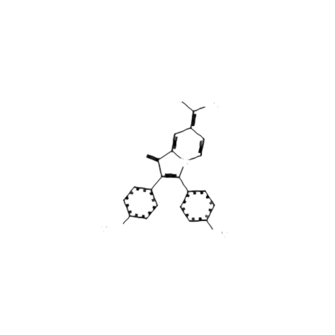 COc1ccc(C2=C(c3ccc(OC)cc3)N3C=CC(=C(Cl)C#N)C=C3C2=O)cc1